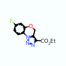 CCOC(=O)c1nnn2c1COc1cc(F)ccc1-2